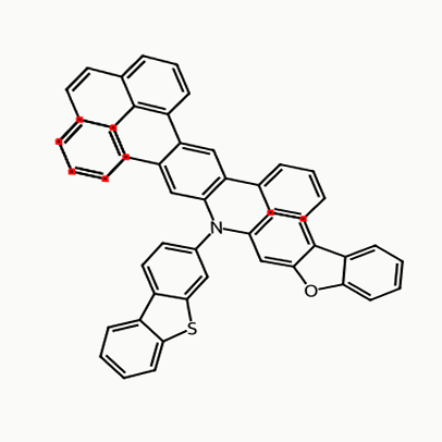 c1ccc(-c2cc(N(c3ccc4c(c3)oc3ccccc34)c3ccc4c(c3)sc3ccccc34)c(-c3ccccc3)cc2-c2cccc3ccc4ccccc4c23)cc1